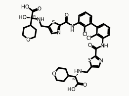 O=C(Nc1cccc(-c2cccc(NC(=O)c3ncc(CN[C@@](O)(C(=O)O)C4CCOCC4)s3)c2Cl)c1Cl)c1ncc(CN[C@H](C(=O)O)C2CCOCC2)s1